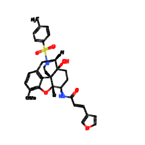 COc1ccc2c3c1O[C@H]1[C@H](NC(=O)/C=C/c4ccoc4)CC[C@@]4(O)[C@@H](C2)N(S(=O)(=O)c2ccc(C)cc2)CC[C@]314